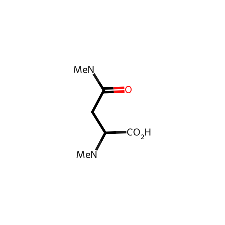 CNC(=O)CC(NC)C(=O)O